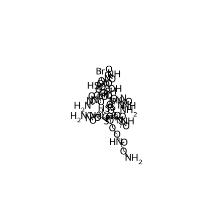 COC1[C@@H](OP(=O)(S)OC[C@H]2O[C@@H](n3cnc4c(=O)[nH]c(N)nc43)C[C@H]2OP(=S)(S)OC[C@H]2O[C@@H](n3cc(C)c(=O)[nH]c3=O)C[C@H]2OP(=S)(OCCOCCOCCNC(=O)CCOCCN)OC[C@H]2O[C@@H](n3ccc(N)nc3=O)C[C@H]2C(C)C)[C@@H](COP(=O)(S)O[C@@H]2C(OC)[C@H](n3cc(Br)c(=O)[nH]c3=O)O[C@@H]2CO)O[C@H]1n1ccc(N)nc1=O